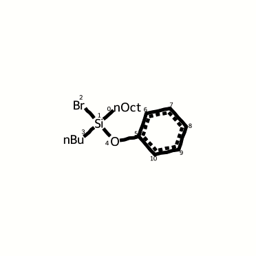 CCCCCCCC[Si](Br)(CCCC)Oc1ccccc1